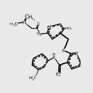 Cc1cccc(NC(=O)c2cccnc2SCc2ccnc(NC(=O)CN(C)C)c2)c1.Cl